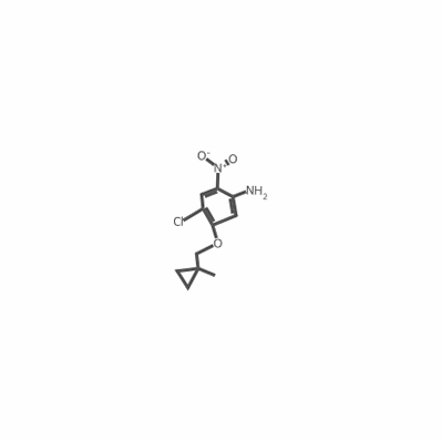 CC1(COc2cc(N)c([N+](=O)[O-])cc2Cl)CC1